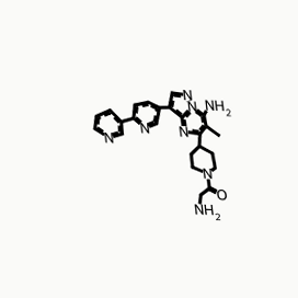 Cc1c(C2CCN(C(=O)CN)CC2)nc2c(-c3ccc(-c4cccnc4)nc3)cnn2c1N